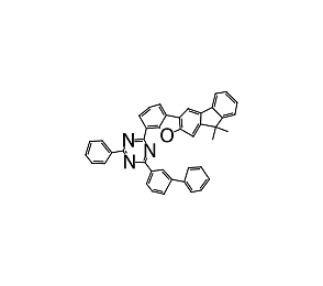 CC1(C)c2ccccc2-c2cc3c(cc21)oc1c(-c2nc(-c4ccccc4)nc(-c4cccc(-c5ccccc5)c4)n2)cccc13